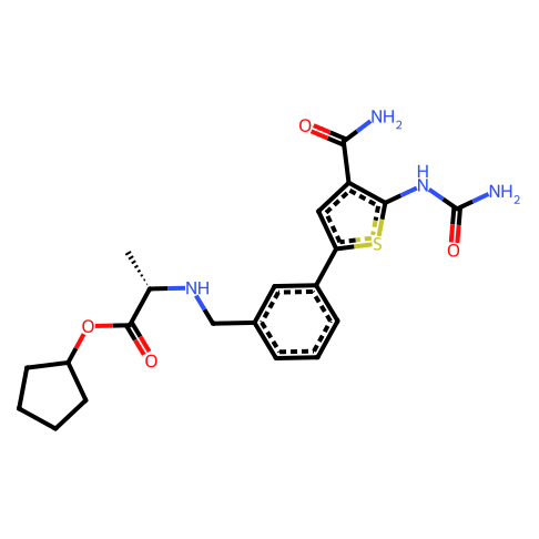 C[C@H](NCc1cccc(-c2cc(C(N)=O)c(NC(N)=O)s2)c1)C(=O)OC1CCCC1